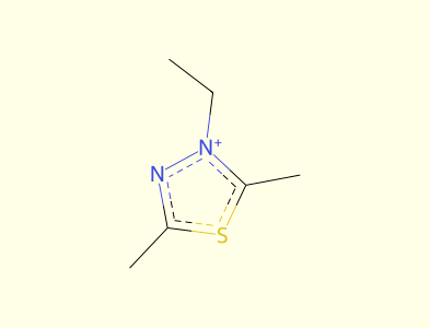 CC[n+]1nc(C)sc1C